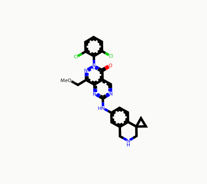 COCc1nn(-c2c(Cl)cccc2Cl)c(=O)c2cnc(Nc3ccc4c(c3)CNCC43CC3)nc12